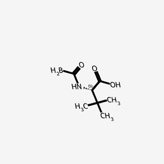 BC(=O)N[C@H](C(=O)O)C(C)(C)C